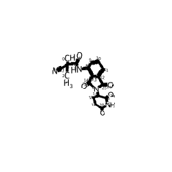 CC(C)(C#N)C(=O)Nc1cccc2c1C(=O)N(C1CCC(=O)NC1=O)C2=O